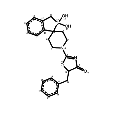 O=C1N=C(N2CCC3(CC2)c2ccccc2CS3(O)O)OC1Cc1ccccc1